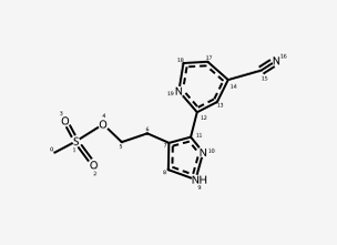 CS(=O)(=O)OCCc1c[nH]nc1-c1cc(C#N)ccn1